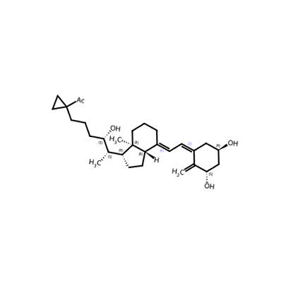 C=C1/C(=C\C=C2/CCC[C@]3(C)[C@@H]([C@H](C)[C@@H](O)CCCC4(C(C)=O)CC4)CC[C@@H]23)C[C@@H](O)C[C@@H]1O